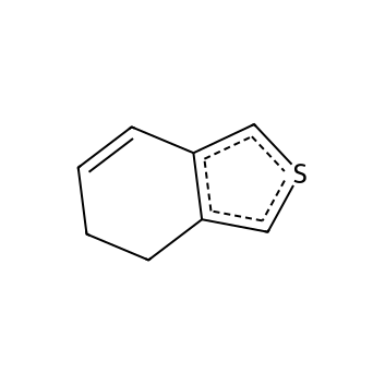 C1=Cc2cscc2CC1